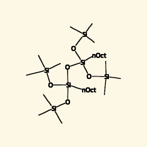 CCCCCCCC[Si](O[Si](C)(C)C)(O[Si](C)(C)C)O[Si](CCCCCCCC)(O[Si](C)(C)C)O[Si](C)(C)C